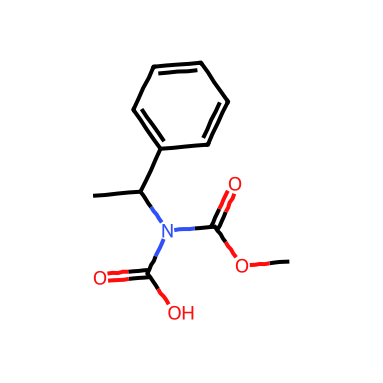 COC(=O)N(C(=O)O)C(C)c1ccccc1